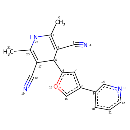 CC1=C(C#N)C(c2cc(-c3cccnc3)co2)C(C#N)=C(C)N1